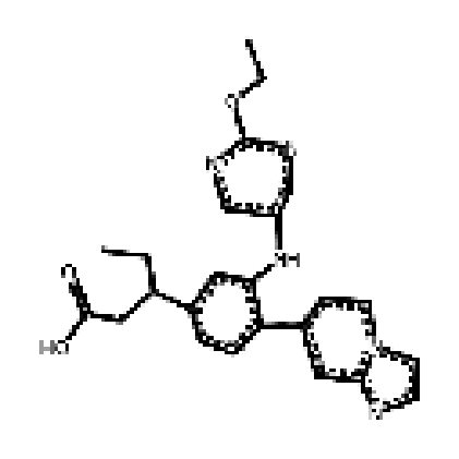 CCOc1ncc(Nc2cc(C(CC)CC(=O)O)ccc2-c2ccn3ccnc3c2)cn1